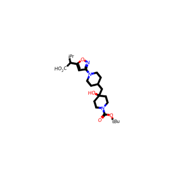 CC(C)C(C(=O)O)c1cc(N2CCC(CC3(O)CCN(C(=O)OC(C)(C)C)CC3)CC2)no1